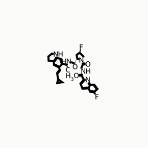 C[C@H](NC(=O)[C@@H]1C[C@@H](F)CN1C(=O)CNC(=O)c1ccc2cc(F)ccc2n1)c1cc2c(cc1/C=C/C1CC1)CCCN2